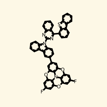 Fc1cc2c3c(c1)Oc1cc(-c4ccc5c(c4)c4ccccc4n5-c4nc(-c5cccc6c5sc5ccccc56)c5ccccc5n4)cc4c1N3c1c(cc(F)cc1O4)O2